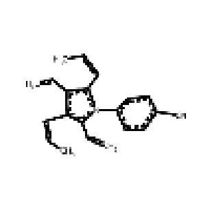 C=Cc1c(/C=C\C)c(C=C)n(-c2ccc(C#N)cc2)c1/C=C\C